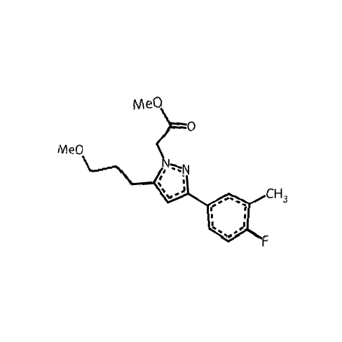 COCCCc1cc(-c2ccc(F)c(C)c2)nn1CC(=O)OC